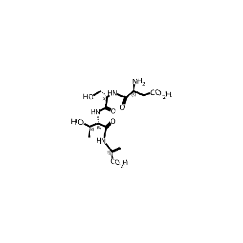 C[C@H](NC(=O)[C@@H](NC(=O)[C@H](CO)NC(=O)[C@@H](N)CC(=O)O)[C@@H](C)O)C(=O)O